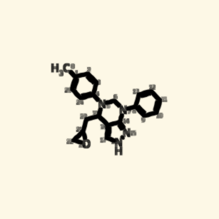 Cc1ccc(N2CN(c3ccccc3)c3n[nH]cc3C2CC2CO2)cc1